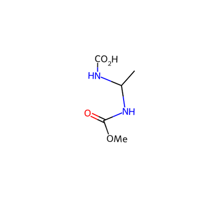 COC(=O)NC(C)NC(=O)O